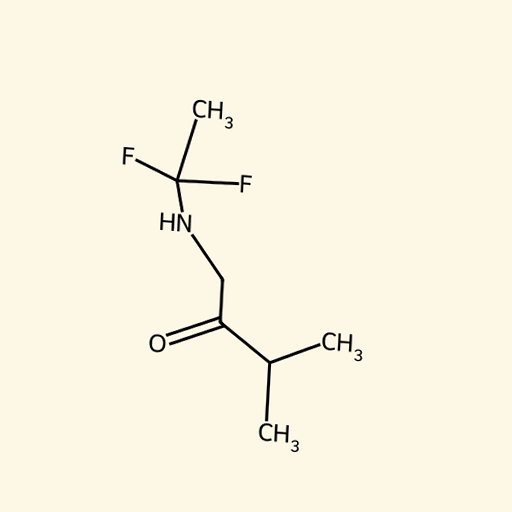 CC(C)C(=O)CNC(C)(F)F